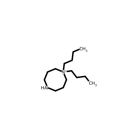 CCCC[N+]1(CCCC)CC[CH2][AlH][CH2]CC1